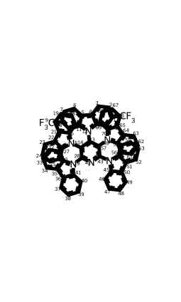 FC(F)(F)c1ccc2c3ccc(C(F)(F)F)cc3n(-c3c(-n4c5ccccc5c5ccccc54)c(-n4c5ccccc5c5ccccc54)nc(-n4c5ccccc5c5ccccc54)c3-n3c4ccccc4c4ccccc43)c2c1